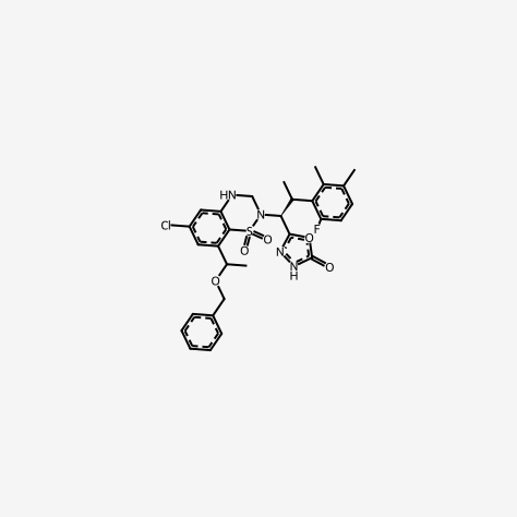 Cc1ccc(F)c(C(C)[C@@H](c2n[nH]c(=O)o2)N2CNc3cc(Cl)cc(C(C)OCc4ccccc4)c3S2(=O)=O)c1C